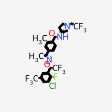 C/C(=N\OC(c1cc(C(F)(F)F)cc(Cl)c1F)C(F)(F)F)c1ccc(C(=O)N[C@@H]2CCN(CC(F)(F)F)C2)c(C)c1